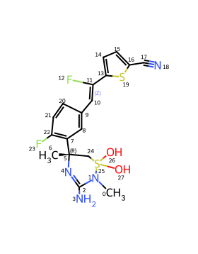 CN1C(N)=N[C@](C)(c2cc(/C=C(\F)c3ccc(C#N)s3)ccc2F)CS1(O)O